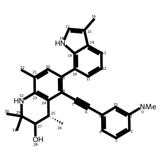 CNc1cccc(C#Cc2c(-c3cccc4c(C)c[nH]c34)cc(C)c3c2[C@H](C)C(O)C(C)(C)N3)c1